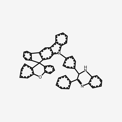 c1ccc(C2=Nc3ccccc3NC2c2ccc(-n3c4ccccc4c4cc5c(cc43)C3(c4ccccc4Oc4ccccc43)c3ccccc3-5)cc2)cc1